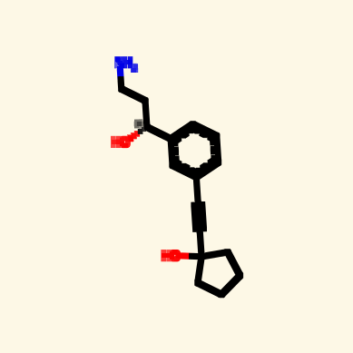 NCC[C@@H](O)c1cccc(C#CC2(O)CCCC2)c1